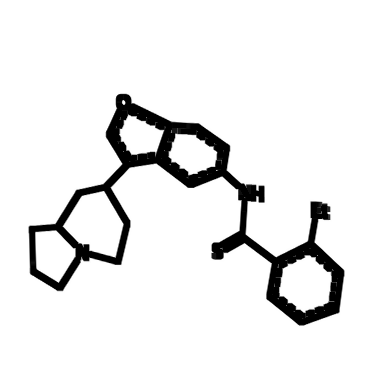 CCc1ccccc1C(=S)Nc1ccc2occ(C3CCN4CCCC4C3)c2c1